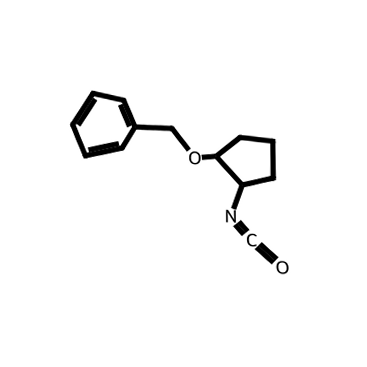 O=C=NC1CCCC1OCc1ccccc1